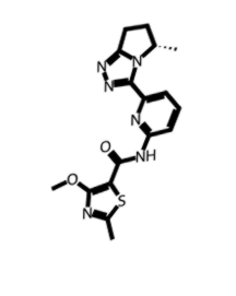 COc1nc(C)sc1C(=O)Nc1cccc(-c2nnc3n2[C@@H](C)CC3)n1